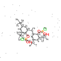 CC(c1cc(C(C)(C)C)cc(C(C)(C)C)c1OP(O)Cl)c1cc(C(C)(C)C)cc(C(C)(C)C)c1OP(O)Cl